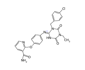 CCn1c(=O)[nH]/c(=N\c2ccc(Oc3ncccc3C(N)=O)cc2)n(Cc2ccc(Cl)cc2)c1=O